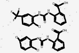 O=C(Nc1cc(C(F)(F)F)ccc1Cl)Nc1ccccc1C(=O)O.O=C(Nc1cc(Cl)ccc1Cl)Nc1ccccc1C(=O)O